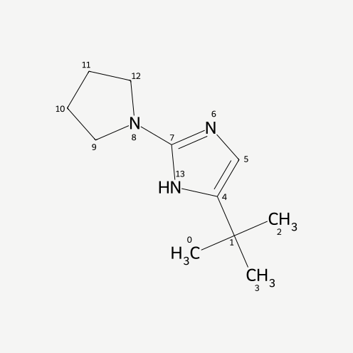 CC(C)(C)c1cnc(N2CCCC2)[nH]1